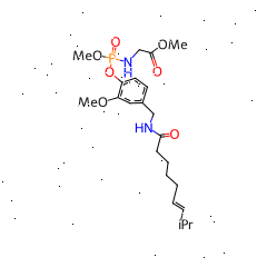 COC(=O)CNP(=O)(OC)Oc1ccc(CNC(=O)CCCC/C=C/C(C)C)cc1OC